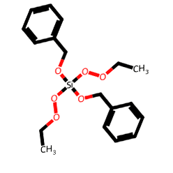 CCOO[Si](OCc1ccccc1)(OCc1ccccc1)OOCC